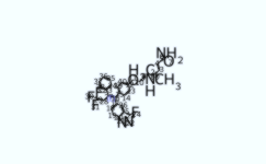 CC(C)(C=CC(N)=O)NCCOc1ccc(/C(C2=CCC3=NN=C(F)C3=C2)=C(/CC(F)(F)F)c2ccccc2)cc1